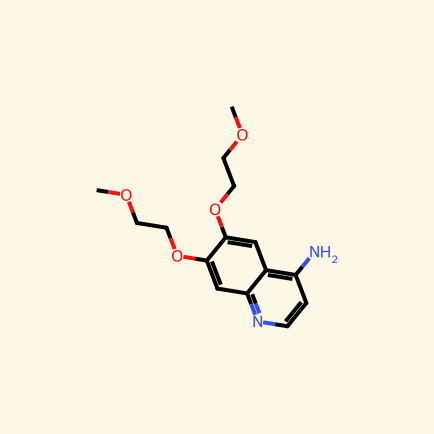 COCCOc1cc2nccc(N)c2cc1OCCOC